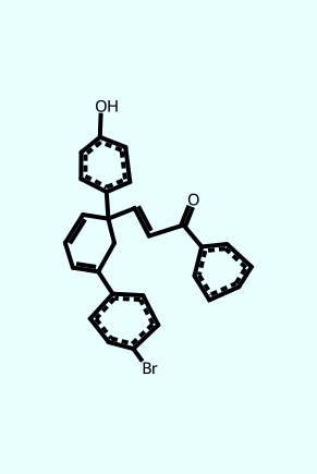 O=C(C=CC1(c2ccc(O)cc2)C=CC=C(c2ccc(Br)cc2)C1)c1ccccc1